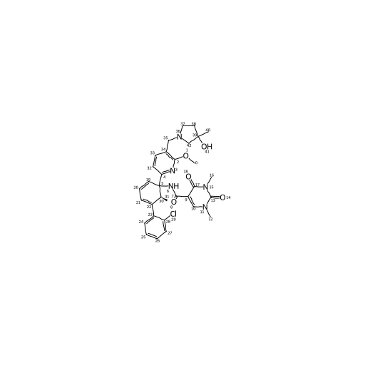 COc1nc(C2(NC(=O)c3cn(C)c(=O)n(C)c3=O)C=CC=C(c3ccccc3Cl)[C@@H]2C)ccc1CN1CCC(C)(O)C1